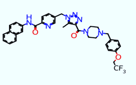 Cc1c(C(=O)N2CCN(Cc3ccc(OCC(F)(F)F)cc3)CC2)nnn1Cc1ccc(C(=O)Nc2ccc3ccccc3c2)nc1